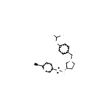 CC(C)Oc1ccc(CN2CC[C@@H](NS(=O)(=O)c3ccc(C#N)nc3)C2)cc1